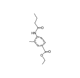 CCCC(=O)Nc1ccc(C(=O)OCC)cc1C